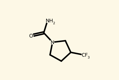 NC(=O)N1CCC(C(F)(F)F)C1